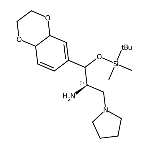 CC(C)(C)[Si](C)(C)OC(C1=CC2OCCOC2C=C1)[C@H](N)CN1CCCC1